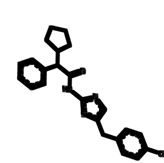 O=C(Nc1ncc(Cc2ccc(Cl)cc2)s1)C(c1ccccc1)C1CCCC1